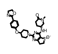 CN1C[C@@H](Nc2nc(N3CCC(Oc4ccc(C5=NCCO5)cc4)CC3)nc3c2[S@+]([O-])CC3)CCC1=O